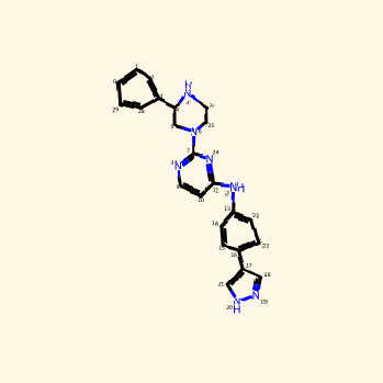 c1ccc(C2CN(c3nccc(Nc4ccc(-c5cn[nH]c5)cc4)n3)CCN2)cc1